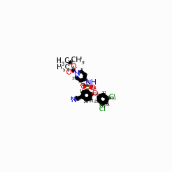 CC(C)(C)OC(=O)N1CCC(NS(=O)(=O)c2cc(C#N)ccc2Oc2cc(Cl)cc(Cl)c2)CC1